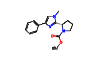 Cn1cc(-c2ccccc2)nc1[C@@H]1CCCN1C(=O)OC(C)(C)C